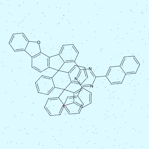 c1ccc(-c2nc(-c3ccc4ccccc4c3)nc(-c3cccc4c3C3(c5ccccc5C5(c6ccccc6-c6ccccc65)c5ccccc53)c3ccc5c(oc6ccccc65)c3-4)n2)cc1